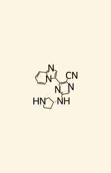 N#Cc1ncc(N[C@@H]2CCNC2)nc1-c1cnc2ccccn12